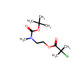 CN(CCOC(=O)C(C)(C)Br)C(=O)OC(C)(C)C